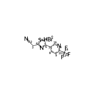 Br.N#CCc1nc(-c2ccc(C(F)(F)F)nc2)cs1